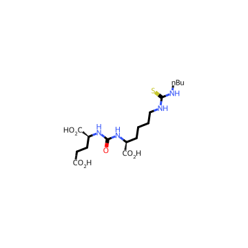 CCCCNC(=S)NCCCC[C@H](NC(=O)N[C@@H](CCC(=O)O)C(=O)O)C(=O)O